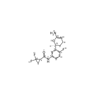 C[C@@]1(c2cc(NC(=O)C3CC3(F)F)ccc2F)CCN=C(N)O1